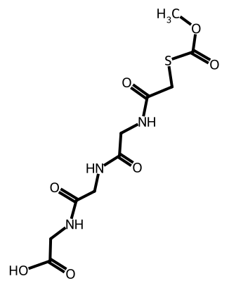 COC(=O)SCC(=O)NCC(=O)NCC(=O)NCC(=O)O